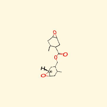 CC1CC2O[C@@H]2CC1COC(=O)C1CC2OC2CC1C